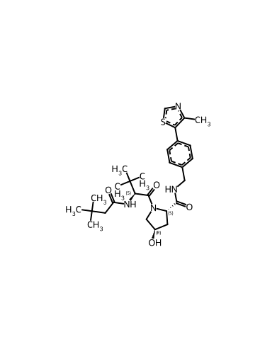 Cc1ncsc1-c1ccc(CNC(=O)[C@@H]2C[C@@H](O)CN2C(=O)[C@@H](NC(=O)CC(C)(C)C)C(C)(C)C)cc1